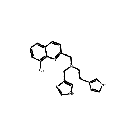 Oc1cccc2ccc(CN(CCc3c[nH]cn3)Cc3c[nH]cn3)nc12